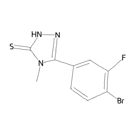 Cn1c(-c2ccc(Br)c(F)c2)n[nH]c1=S